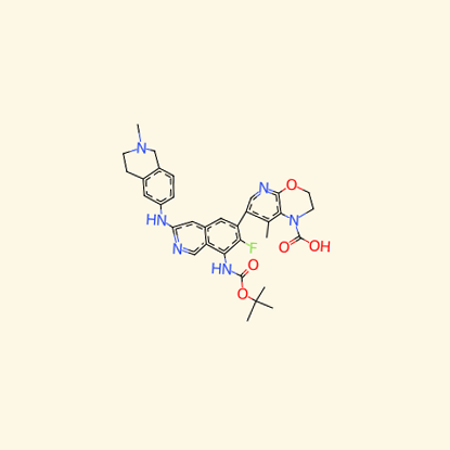 Cc1c(-c2cc3cc(Nc4ccc5c(c4)CCN(C)C5)ncc3c(NC(=O)OC(C)(C)C)c2F)cnc2c1N(C(=O)O)CCO2